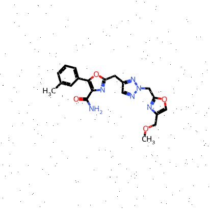 COCc1coc(Cn2ncc(Cc3nc(C(N)=O)c(-c4cccc(C)c4)o3)n2)n1